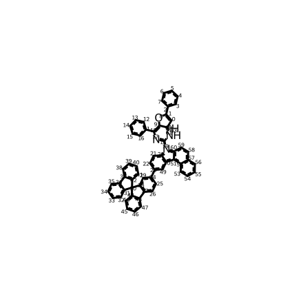 C1=C(c2ccccc2)OC2=C(c3ccccc3)N=C(n3c4ccc(-c5ccc6c(c5)C5(c7ccccc7-c7ccccc75)c5ccccc5-6)cc4c4c5ccccc5ccc43)N[C@H]12